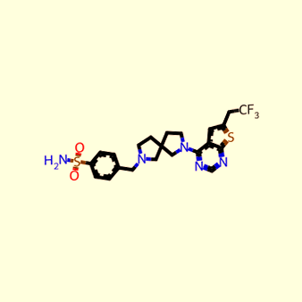 NS(=O)(=O)c1ccc(CN2CCC3(CCN(c4ncnc5sc(CC(F)(F)F)cc45)C3)C2)cc1